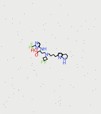 O=C(O)C(CCN(CCCCc1ccc2c(n1)NCCC2)C1CC(F)(F)C1)Nc1ccnc(C(F)(F)F)n1